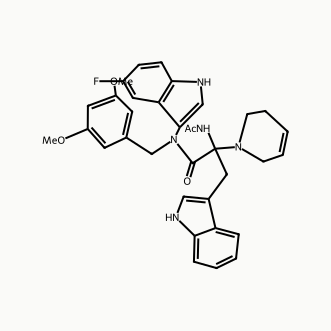 COc1cc(CN(C(=O)C(Cc2c[nH]c3ccccc23)(NC(C)=O)N2CC=CCC2)c2c[nH]c3ccc(F)cc23)cc(OC)c1